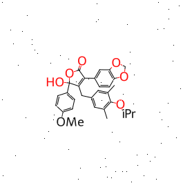 COc1ccc(C2(O)OC(=O)C(c3ccc4c(c3)OCO4)=C2Cc2cc(C)c(OC(C)C)c(C)c2)cc1